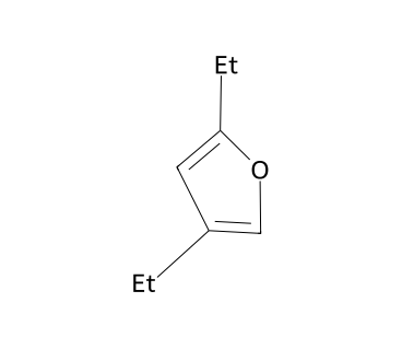 CCc1coc(CC)c1